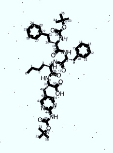 CCCC[C@@H](NC(=O)[C@@H](Cc1ccccc1)NC(=O)[C@@H](CCc1ccccc1)NC(=O)OC(C)(C)C)C(=O)N[C@H](Cc1cnc(NC(=O)OC(C)(C)C)nc1)C(=O)O